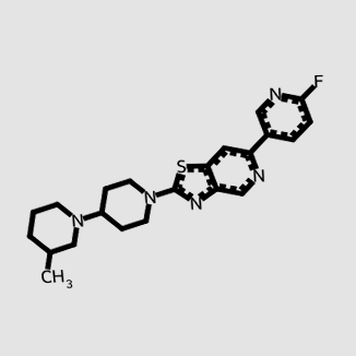 CC1CCCN(C2CCN(c3nc4cnc(-c5ccc(F)nc5)cc4s3)CC2)C1